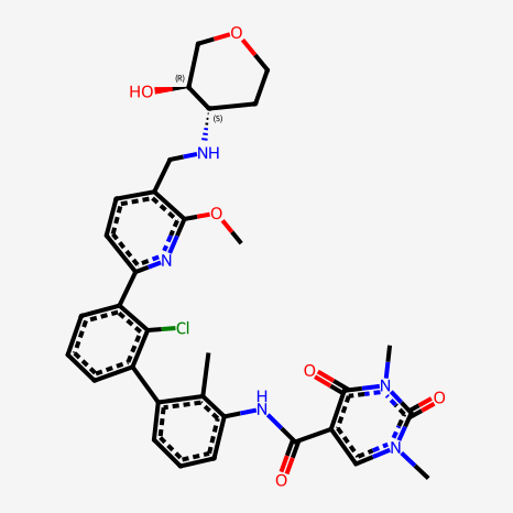 COc1nc(-c2cccc(-c3cccc(NC(=O)c4cn(C)c(=O)n(C)c4=O)c3C)c2Cl)ccc1CN[C@H]1CCOC[C@@H]1O